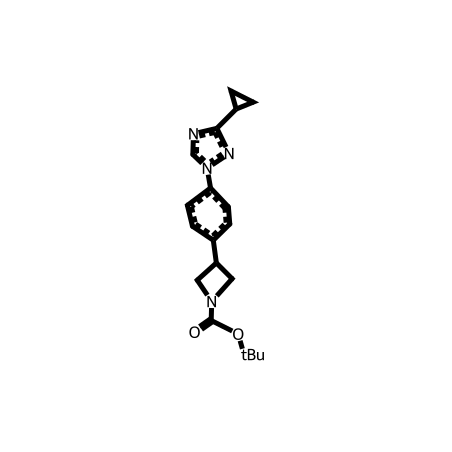 CC(C)(C)OC(=O)N1CC(c2ccc(-n3cnc(C4CC4)n3)cc2)C1